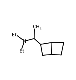 CCN(CC)C(C)C1CC2CCC21